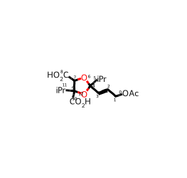 CC(=O)OC/C=C/C1(C(C)C)OC(C(=O)O)C(C(=O)O)(C(C)C)O1